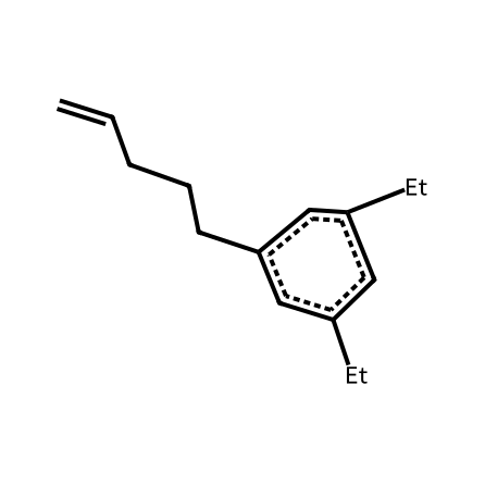 C=CCCCc1cc(CC)cc(CC)c1